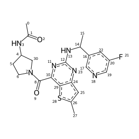 CC(=O)NC1CCN(C(=O)c2nc(NC(C)c3cncc(F)c3)nc3cc(C)sc23)C1